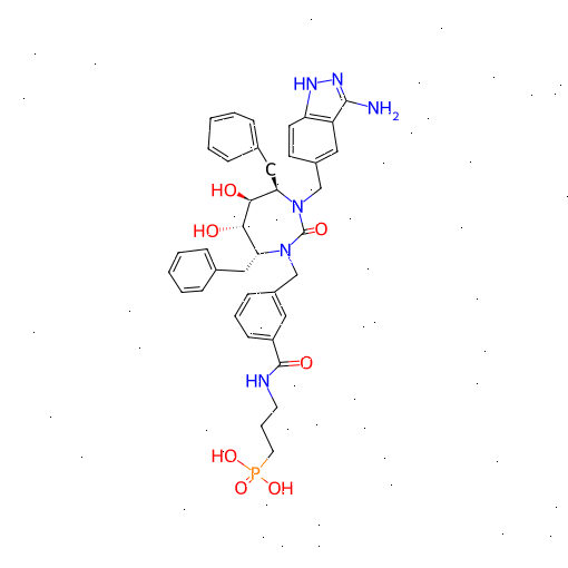 Nc1n[nH]c2ccc(CN3C(=O)N(Cc4cccc(C(=O)NCCCP(=O)(O)O)c4)[C@H](Cc4ccccc4)[C@H](O)[C@@H](O)[C@H]3Cc3ccccc3)cc12